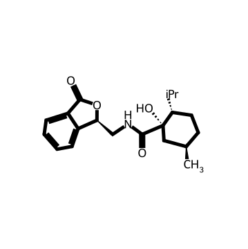 CC(C)[C@@H]1CC[C@@H](C)C[C@@]1(O)C(=O)NC[C@@H]1OC(=O)c2ccccc21